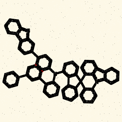 c1ccc(-c2cccc(-c3ccccc3N(c3ccc(-c4ccc5c(c4)sc4ccccc45)cc3)c3cccc4c3-c3ccccc3C43c4ccccc4-n4c5ccccc5c5cccc3c54)c2)cc1